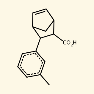 Cc1cccc(C2C3C=CC(C3)C2C(=O)O)c1